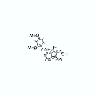 COc1ccc(CNc2ncnc3c2c(I)c(CO)n3C(C)C)c(OC)c1